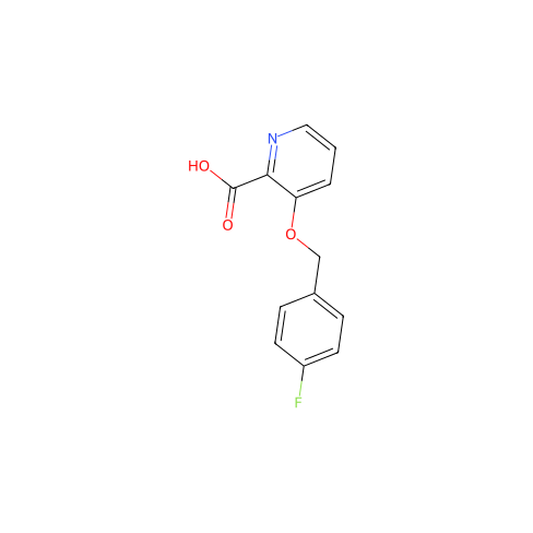 O=C(O)c1ncccc1OCc1ccc(F)cc1